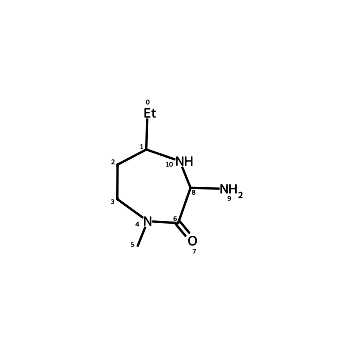 CCC1CCN(C)C(=O)C(N)N1